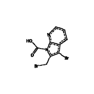 O=C(O)n1c(CBr)c(Br)c2cccnc21